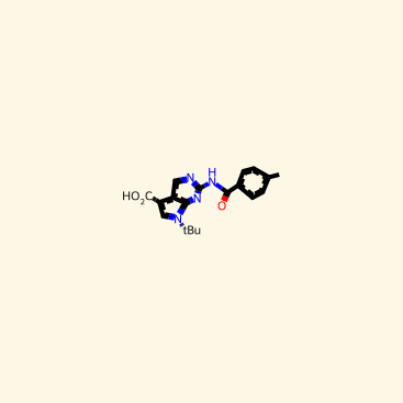 Cc1ccc(C(=O)Nc2ncc3c(C(=O)O)cn(C(C)(C)C)c3n2)cc1